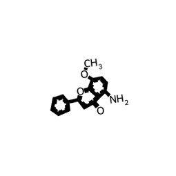 COc1ccc(N)c2c(=O)cc(-c3ccccc3)oc12